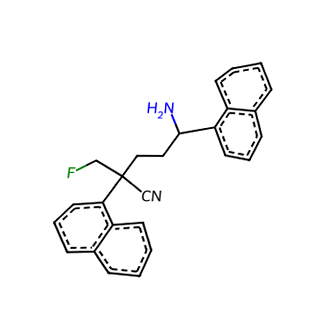 N#CC(CF)(CCC(N)c1cccc2ccccc12)c1cccc2ccccc12